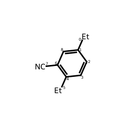 CCc1[c]cc(CC)c(C#N)c1